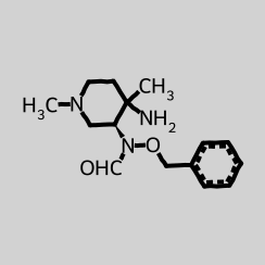 CN1CCC(C)(N)[C@@H](N(C=O)OCc2ccccc2)C1